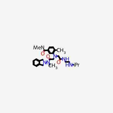 CNC(=O)c1ccc(C)c(N(CC(=O)NCCNC(C)C)CC(=O)N(C)N2Cc3ccccc3C2)c1